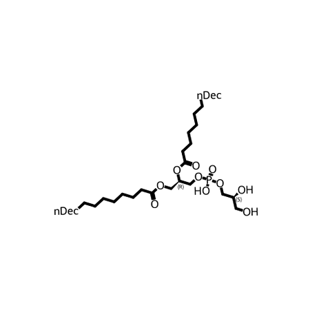 CCCCCCCCCCCCCCCCCC(=O)OC[C@H](COP(=O)(O)OC[C@@H](O)CO)OC(=O)CCCCCCCCCCCCCCCC